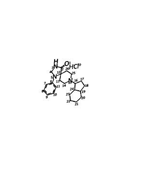 Cl.O=C1NCN(c2ccccc2)C12CCN(C1CCC3CCCCC31)CC2